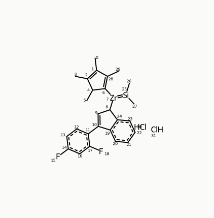 CC1=C(C)C(C)[C]([Zr]([CH]2C=C(c3ccc(F)cc3F)c3ccccc32)=[Si](C)C)=C1C.Cl.Cl